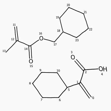 C=C(C(=O)O)C1CCCCC1.C=C(C)C(=O)OCC1CCCCC1